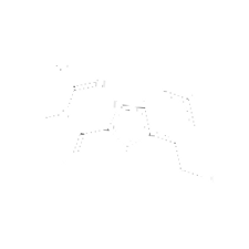 CN(C(=N)N)C(=O)c1cc2c(CO)cccc2[nH]1